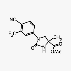 COC(=O)C1(C)CN(c2ccc(C#N)c(C(F)(F)F)c2)C(=O)N1